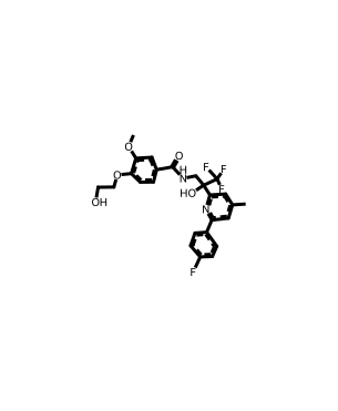 COc1cc(C(=O)NCC(O)(c2cc(C)cc(-c3ccc(F)cc3)n2)C(F)(F)F)ccc1OCCO